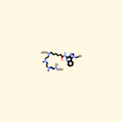 CCCCCCCCCCN(CC)CCN(C)CCN(C)CCN(CCCCCCCCCC)CCCCCC(=O)Nc1nc2ccccc2c2c1ncn2CC(C)C